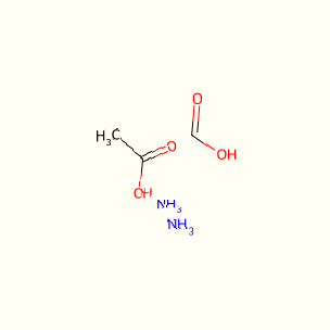 CC(=O)O.N.N.O=CO